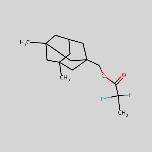 CC12CC3CC(C)(C1)CC(COC(=O)C(C)(F)F)(C3)C2